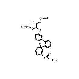 CCCCCCCC(=O)OC1=CC(F)(c2ccccc2-c2cccc(OC(OCCCCC)[C@H](CC)OCCCCC)c2)CC=C1